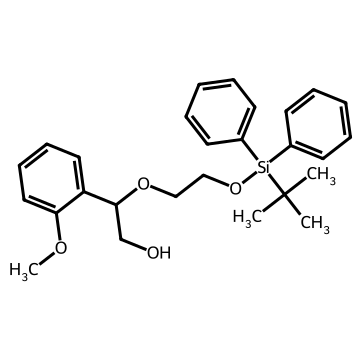 COc1ccccc1C(CO)OCCO[Si](c1ccccc1)(c1ccccc1)C(C)(C)C